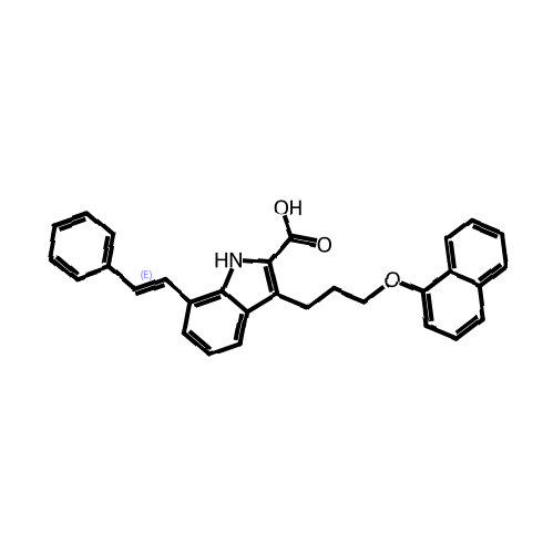 O=C(O)c1[nH]c2c(/C=C/c3ccccc3)cccc2c1CCCOc1cccc2ccccc12